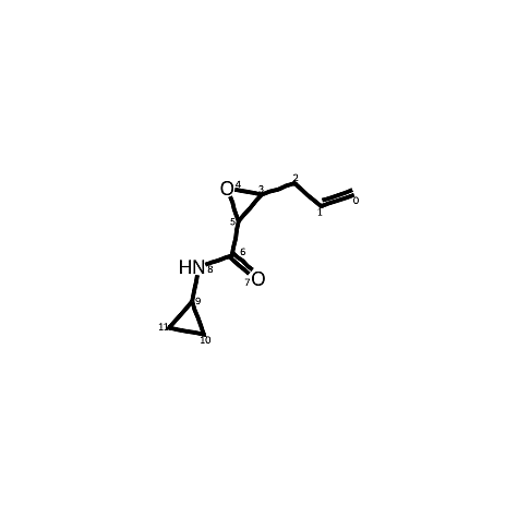 C=CCC1OC1C(=O)NC1CC1